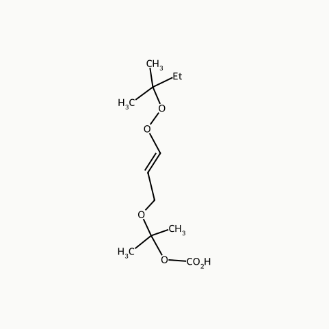 CCC(C)(C)OOC=CCOC(C)(C)OC(=O)O